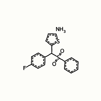 N.O=S(=O)(c1ccccc1)C(c1ccc(F)cc1)c1cccs1